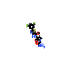 NC(=O)CN1CC[C@H](NC(=O)c2cnc(-c3cc(F)cc(F)c3)s2)C1=O